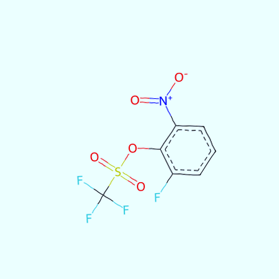 O=[N+]([O-])c1cccc(F)c1OS(=O)(=O)C(F)(F)F